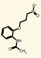 CC(=O)Nc1ccccc1OCCC[N+](=O)[O-]